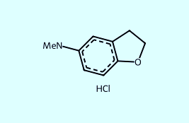 CNc1ccc2c(c1)CCO2.Cl